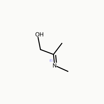 C/N=C(\C)CO